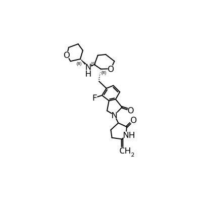 C=C1CCC(N2Cc3c(ccc(C[C@H]4OCCC[C@@H]4N[C@@H]4CCCOC4)c3F)C2=O)C(=O)N1